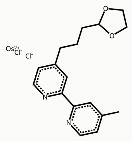 Cc1ccnc(-c2cc(CCCC3OCCO3)ccn2)c1.[Cl-].[Cl-].[Os+2]